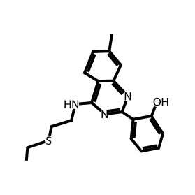 CCSCCNc1nc(-c2ccccc2O)nc2cc(C)ccc12